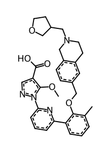 COc1c(C(=O)O)cnn1-c1cccc(-c2cccc(C)c2OCc2ccc3c(c2)CCN(CC2CCOC2)C3)n1